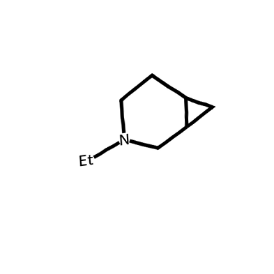 CCN1CCC2CC2C1